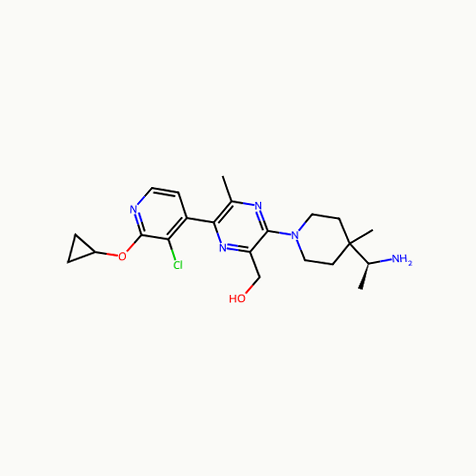 Cc1nc(N2CCC(C)([C@H](C)N)CC2)c(CO)nc1-c1ccnc(OC2CC2)c1Cl